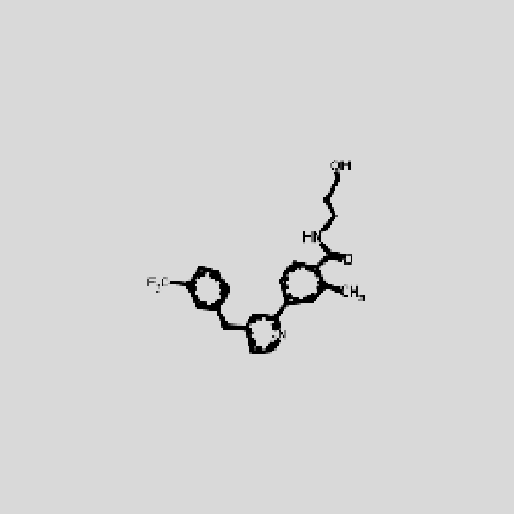 Cc1cc(-c2cc(Cc3cccc(C(F)(F)F)c3)ccn2)ccc1C(=O)NCCCO